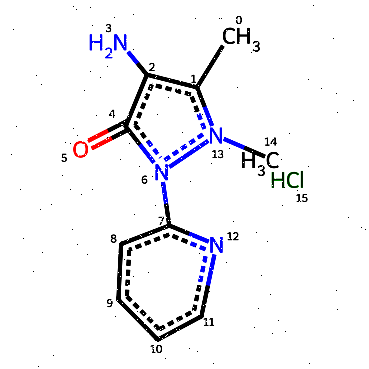 Cc1c(N)c(=O)n(-c2ccccn2)n1C.Cl